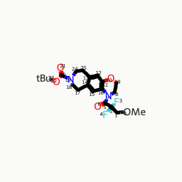 COCC(F)(F)C(=O)N1CCOc2cc3c(cc21)CCN(C(=O)OC(C)(C)C)CC3